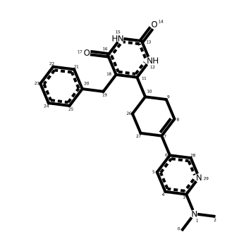 CN(C)c1ccc(C2=CCC(c3[nH]c(=O)[nH]c(=O)c3Cc3ccccc3)CC2)cn1